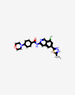 Cc1nnc(-c2cc(F)c3cnc(NC(=O)C4CCC(N5CCOCC5)CC4)cc3c2)s1